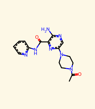 CC(=O)N1CCN(c2cnc(N)c(C(=O)Nc3ccccn3)n2)CC1